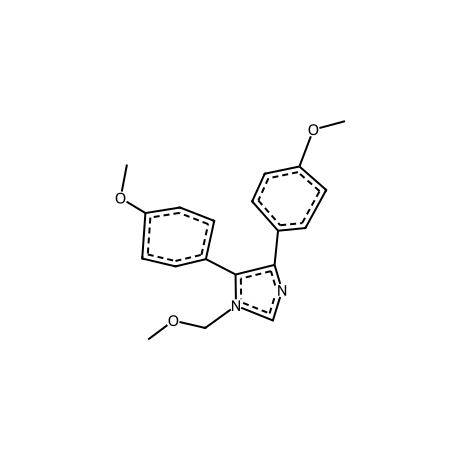 COCn1cnc(-c2ccc(OC)cc2)c1-c1ccc(OC)cc1